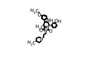 CCOc1ccc2[nH]c3c(c2c1)C[C@@]1(C)C(=O)N(CCCN2CCC(C)CC2)C(=O)N1[C@@H]3c1cccc(O)c1